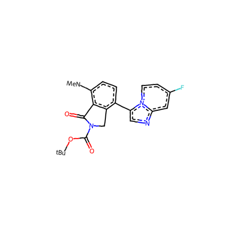 CNc1ccc(-c2cnc3cc(F)ccn23)c2c1C(=O)N(C(=O)OC(C)(C)C)C2